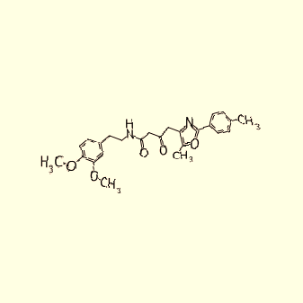 COc1ccc(CCNC(=O)CC(=O)Cc2nc(-c3ccc(C)cc3)oc2C)cc1OC